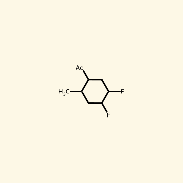 CC(=O)C1CC(F)C(F)CC1C